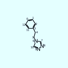 c1ccc(CCn2cnnc2)cc1